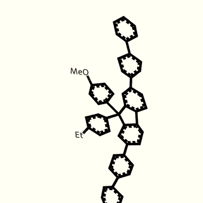 CCc1ccc(C2(c3ccc(OC)cc3)c3cc(-c4ccc(-c5ccccc5)cc4)ccc3-c3ccc(-c4ccc(-c5ccccc5)cc4)cc32)cc1